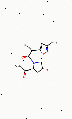 CNC(=O)[C@@H]1C[C@@H](O)CN1C(=O)C(c1cc(C)no1)C(C)C